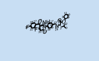 CC(C)C[C@@H](C(=O)OC1CCCC1)N(C)Cc1ccc(-n2c(N)c(C(=O)c3ccc(F)cc3F)ccc2=O)cc1